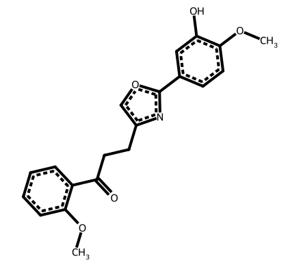 COc1ccc(-c2nc(CCC(=O)c3ccccc3OC)co2)cc1O